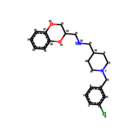 Clc1cccc(CN2CCC(CNCC3COc4ccccc4O3)CC2)c1